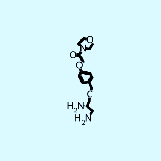 NC[C@H](N)CCCc1ccc(OCC(=O)N2CCOCC2)cc1